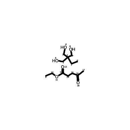 CCC(CO)(CO)CO.CCOC(=O)CCC(C)=O